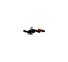 CCCCCc1ccc(-c2ccc(CCC3CCC(CCCC)CC3)cc2F)nn1